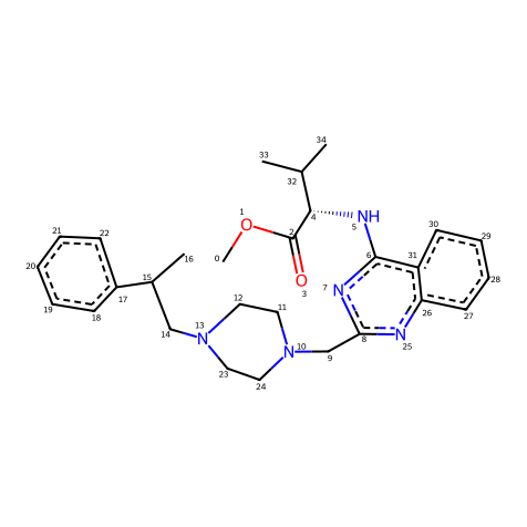 COC(=O)[C@@H](Nc1nc(CN2CCN(CC(C)c3ccccc3)CC2)nc2ccccc12)C(C)C